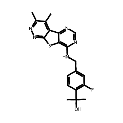 Cc1nnc2sc3c(NCc4ccc(C(C)(C)O)c(F)c4)ncnc3c2c1C